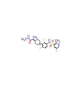 CNC(=O)c1ncn2c1CC[C@H](c1c(F)ccc(NS(=O)(=O)c3cc(F)cnc3C)c1F)C2